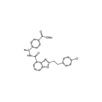 COC(=O)c1ccc([C@H](C)NC(=O)c2cccc3oc(CCc4ccc(Cl)cc4)nc23)cc1